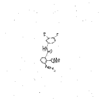 COc1c(N)cccc1C(=O)Nc1ccc(F)c(F)c1